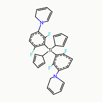 Fc1ccc(N2C=CC=CC2)c(F)[c]1[Ti]([c]1c(F)ccc(N2C=CC=CC2)c1F)([CH]1C=CC=C1)[CH]1C=CC=C1